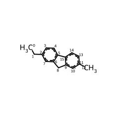 CCc1ccc2c(c1)Cc1[c]c(C)ccc1-2